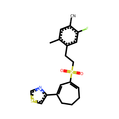 Cc1cc(C#N)c(F)cc1CCS(=O)(=O)C1=CCCCC(c2cscn2)=C1